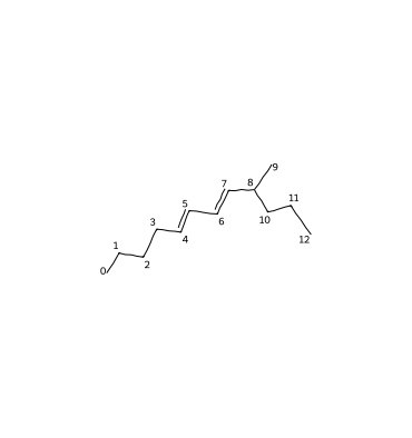 CCCCC=CC=CC(C)CCC